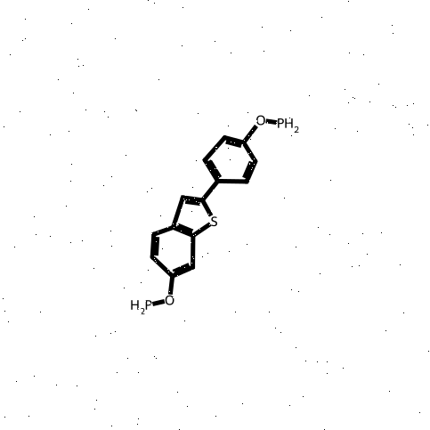 POc1ccc(-c2cc3ccc(OP)cc3s2)cc1